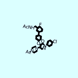 CC(=O)NCc1cc(-c2ccc(Oc3c(N4CCN(C(C)=O)CC4)cnn(-c4ccc(Cl)cc4)c3=O)cc2)ccc1F